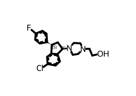 OCCN1CCN([C@@H]2C[C@@H](c3ccc(F)cc3)c3cc(Cl)ccc32)CC1